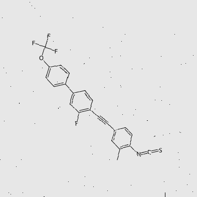 Cc1cc(C#Cc2ccc(-c3ccc(OC(F)(F)F)cc3)cc2F)ccc1N=C=S